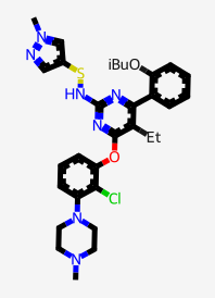 CCc1c(Oc2cccc(N3CCN(C)CC3)c2Cl)nc(NSc2cnn(C)c2)nc1-c1ccccc1OCC(C)C